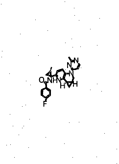 Cc1nccc(N2C[C@H]3C[C@H]3c3nc([C@]4(NC(=O)c5ccc(F)cc5)C[C@H]4C)ccc32)n1